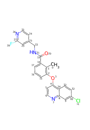 Cc1c(Oc2ccnc3cc(Cl)ccc23)cccc1C(=O)NCc1ccnc(F)c1